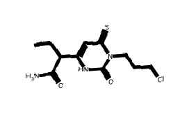 CCC(C(N)=O)c1cc(=S)n(CCCCl)c(=O)[nH]1